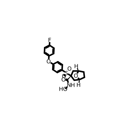 O=C(NO)[C@]1(S(=O)(=O)c2ccc(Oc3ccc(F)cc3)cc2)C[C@H]2CC[C@@H](C1)O2